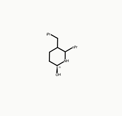 CCCC1N[C@@H](O)CCC1CC(C)C